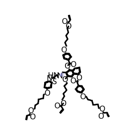 C=CC(=O)OCCCCCCOc1ccc(C(=O)Oc2c(/C=N/Nc3nc4ccc(OCCCCCCOC(=O)C=C)cc4s3)c(OCCCCCCOC(=O)C=C)c(OC(=O)c3ccc(OCCCCCCOC(=O)C=C)cc3)c3ccccc23)cc1